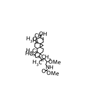 COC(=O)NCC(C[C@@H](C)[C@H]1C[C@H](O)[C@@]2(C)C3CC[C@H]4C(C)(C)C(O)CCC45CC35CCC12C)OC